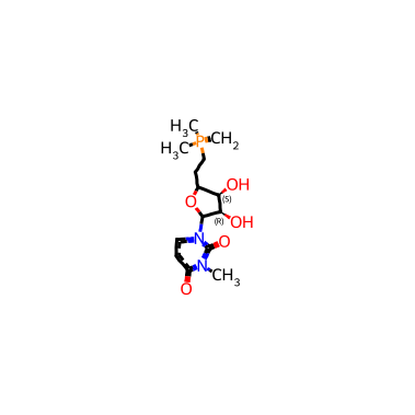 C=P(C)(C)CCC1OC(n2ccc(=O)n(C)c2=O)[C@H](O)[C@@H]1O